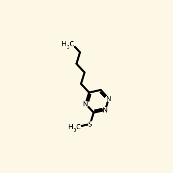 CCCCCc1cnnc(SC)n1